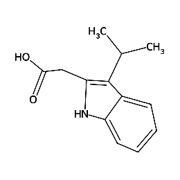 CC(C)c1c(CC(=O)O)[nH]c2ccccc12